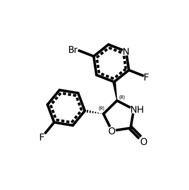 O=C1N[C@H](c2cc(Br)cnc2F)[C@@H](c2cccc(F)c2)O1